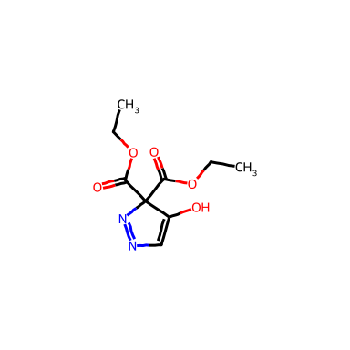 CCOC(=O)C1(C(=O)OCC)N=NC=C1O